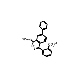 CCCCCC(CC)c1cc(-c2ccccc2)ccc1C(=O)c1ccccc1C(=O)O